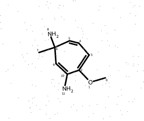 COC1=CC=CC(C)(N)C=C1N